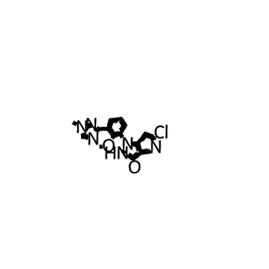 COc1c(-c2ncn(C)n2)cccc1-n1[nH]c(=O)c2cnc(Cl)cc21